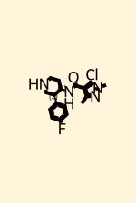 Cc1nn(C)c(Cl)c1C(=O)N[C@@H]1CCNC[C@@H]1c1ccc(F)cc1